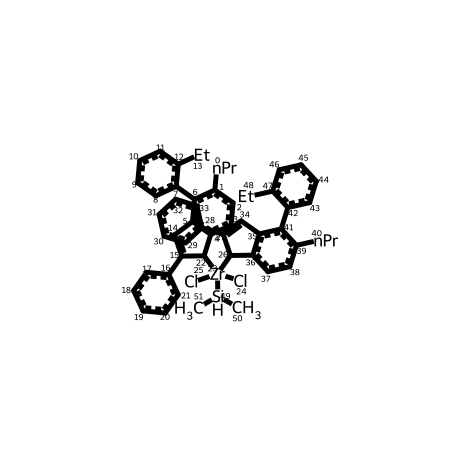 CCCc1ccc2c(c1-c1ccccc1CC)C=C(c1ccccc1)[CH]2[Zr]([Cl])([Cl])([CH]1C(c2ccccc2)=Cc2c1ccc(CCC)c2-c1ccccc1CC)[SiH](C)C